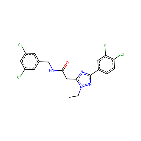 CCn1nc(-c2ccc(Cl)c(F)c2)nc1CC(=O)NCc1cc(Cl)cc(Cl)c1